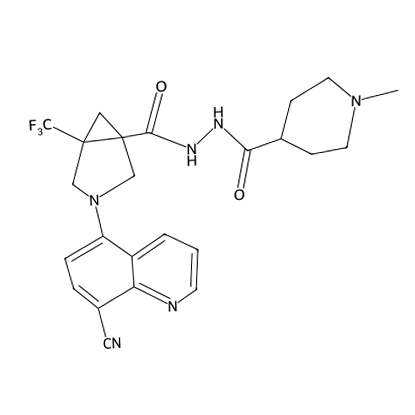 CN1CCC(C(=O)NNC(=O)C23CN(c4ccc(C#N)c5ncccc45)CC2(C(F)(F)F)C3)CC1